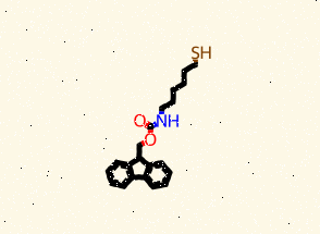 O=C(NCCCCCCS)OCC1c2ccccc2-c2ccccc21